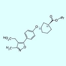 Cc1noc(-c2ccc(O[C@H]3CCC[C@H](C(=O)OC(C)C)C3)cc2)c1CC(=O)O